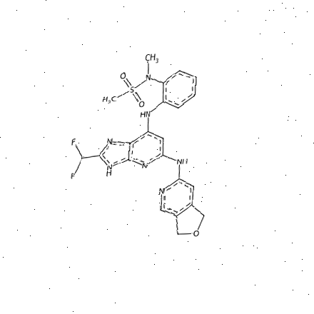 CN(c1ccccc1Nc1cc(Nc2cc3c(cn2)COC3)nc2[nH]c(C(F)F)nc12)S(C)(=O)=O